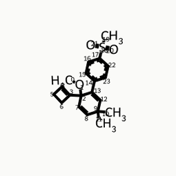 COC1(C2=CCC2)C=CC(C)(C)C=C1c1ccc(S(C)(=O)=O)cc1